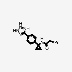 CC(C)CC(=O)NC1(c2ccc(C3=NNNN3)cc2)CC1